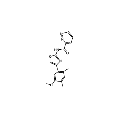 COc1cc(-c2csc(NC(=O)c3cccnn3)n2)c(C)cc1C